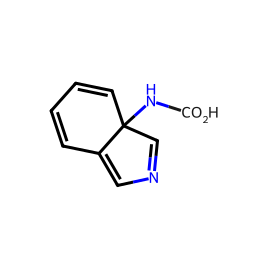 O=C(O)NC12C=CC=CC1=CN=C2